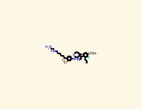 C=CCc1c(C2=CN=C3C(Nc4ccc(C(=O)CCCCCNCCN)c(CC)c4)=NC=CC4CC234)ccc(OC)c1F